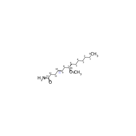 CCCCCCC[C@H](C/C=C/CCC(N)=O)OC